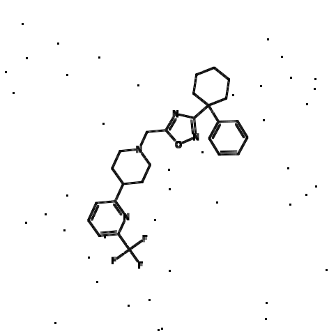 FC(F)(F)c1cccc(C2CCN(Cc3nc(C4(c5ccccc5)CCCCC4)no3)CC2)n1